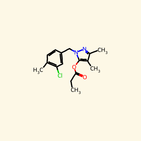 CCC(=O)Oc1c(C)c(C)nn1Cc1ccc(C)c(Cl)c1